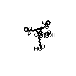 CCN1/C(=C/C=C2C=C(/C=C/c3oc4ccccc4[n+]3CC)CC(C(=O)NCCCCCC(=O)O)(C(=O)NCCS(=O)(=O)O)C/2)Oc2ccccc21